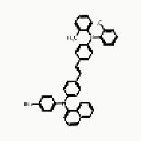 Cc1ccccc1N(c1ccc(/C=C/c2ccc(N(c3ccc(C(C)(C)C)cc3)c3cccc4ccccc34)cc2)cc1)c1ccccc1C